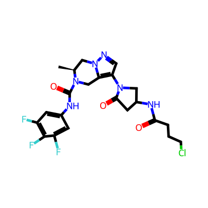 C[C@H]1Cn2ncc(N3CC(NC(=O)CCCCl)CC3=O)c2CN1C(=O)Nc1cc(F)c(F)c(F)c1